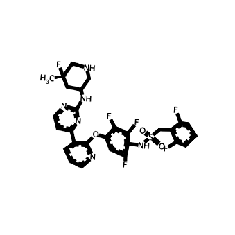 C[C@@]1(F)CNCC(Nc2nccc(-c3cccnc3Oc3cc(F)c(NS(=O)(=O)Cc4c(F)cccc4F)c(F)c3F)n2)C1